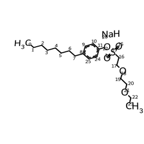 CCCCCCCCc1ccc(OS(=O)(=O)CCOCCOCC)cc1.[NaH]